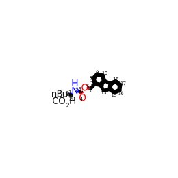 CCCCC(NC(=O)OCc1cccc2c1Cc1ccccc1-2)C(=O)O